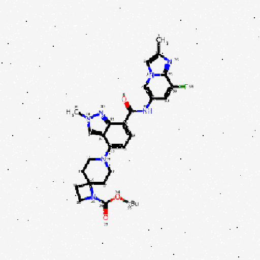 Cc1cn2cc(NC(=O)c3ccc(N4CCC5(CC4)CCN5C(=O)OC(C)(C)C)c4cn(C)nc34)cc(F)c2n1